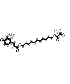 C=C(C)C(=O)OCCCCCCCCCCCOC(=O)C=Cc1ccc(OC)c(OC)c1